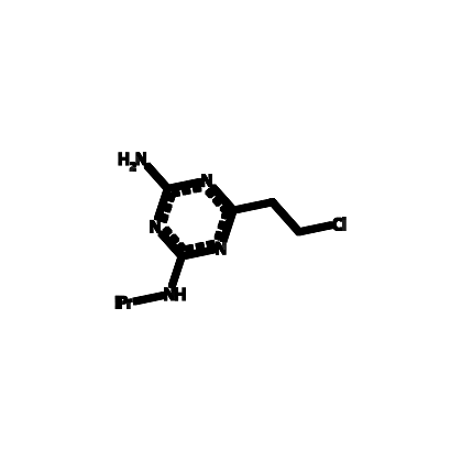 CC(C)Nc1nc(N)nc(CCCl)n1